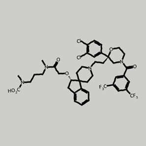 CN(CCCN(C)C(=O)CO[C@H]1Cc2ccccc2C12CCN(CC[C@]1(c3ccc(Cl)c(Cl)c3)CN(C(=O)c3cc(C(F)(F)F)cc(C(F)(F)F)c3)CCO1)CC2)C(=O)O